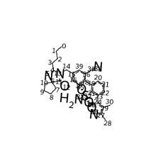 CCCCC1=NC2(CCCC2)C(=O)N1Cc1ccc(-c2cccc(-c3onc(C)c3C)c2S(N)(=O)=O)c(C#N)c1